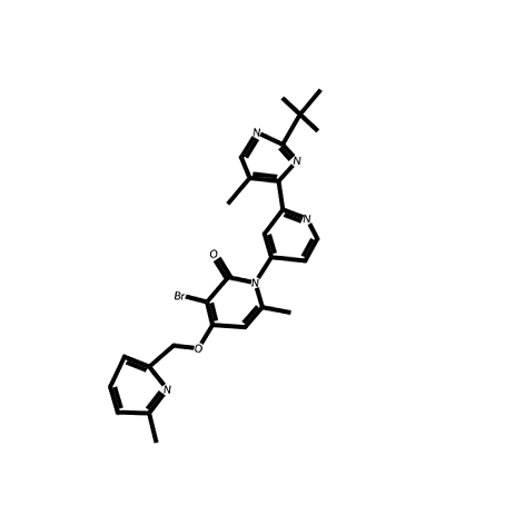 Cc1cccc(COc2cc(C)n(-c3ccnc(-c4nc(C(C)(C)C)ncc4C)c3)c(=O)c2Br)n1